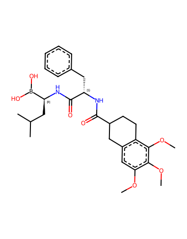 COc1cc2c(c(OC)c1OC)CCC(C(=O)N[C@@H](Cc1ccccc1)C(=O)N[C@@H](CC(C)C)B(O)O)C2